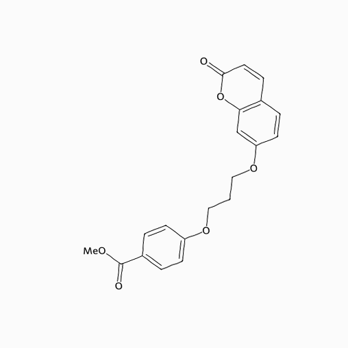 COC(=O)c1ccc(OCCCOc2ccc3ccc(=O)oc3c2)cc1